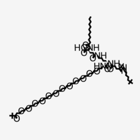 CCCCCCCCCCCC(=O)N[C@@H](CCC(=O)NCCCC[C@H](NC(=O)CCc1cn(CCCCC(C)(C)C)nn1)C(=O)NCCOCCOCCOCCOCCOCCOCCOCCOCCOCCOCCOCCOCCC(=O)C(C)(C)C)C(=O)O